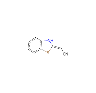 N#CC=C1Nc2ccccc2S1